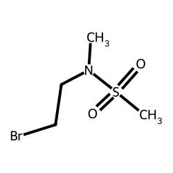 CN(CCBr)S(C)(=O)=O